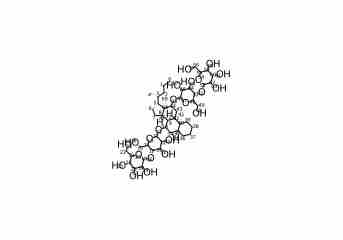 CCC[C@@H](C)[C@H]1CC[C@H]2C3[C@H](O[C@@H]4OC(CO)[C@@H](O[C@H]5OC(CO)[C@@H](O)C(O)[C@@H]5O)C(O)[C@@H]4O)C[C@@H]4CCCC[C@]4(C)[C@H]3C[C@H](O[C@@H]3OC(CO)[C@@H](O[C@H]4OC(CO)[C@@H](O)[C@H](O)C4O)C(O)[C@@H]3O)[C@]12C